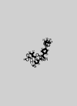 COC(=O)N[C@H](C(=O)N1C[C@@H](SC)C[C@H]1c1nc(-c2ccc(B3OC(C)(C)C(C)(C)O3)cc2)c[nH]1)C(C)C